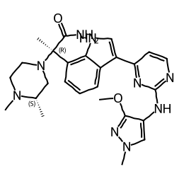 COc1nn(C)cc1Nc1nccc(-c2c[nH]c3c([C@](C)(C(N)=O)N4CCN(C)[C@@H](C)C4)cccc23)n1